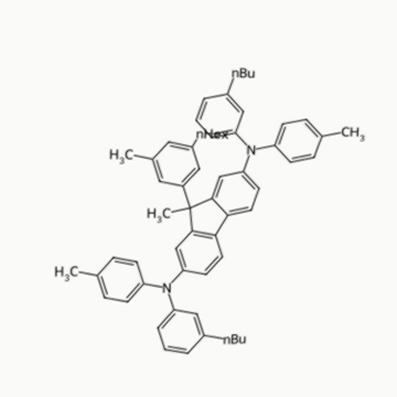 CCCCCCc1cc(C)cc(C2(C)c3cc(N(c4ccc(C)cc4)c4cccc(CCCC)c4)ccc3-c3ccc(N(c4ccc(C)cc4)c4cccc(CCCC)c4)cc32)c1